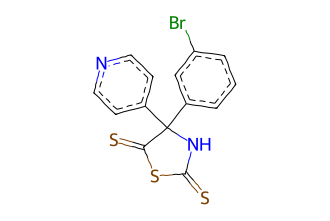 S=C1NC(c2ccncc2)(c2cccc(Br)c2)C(=S)S1